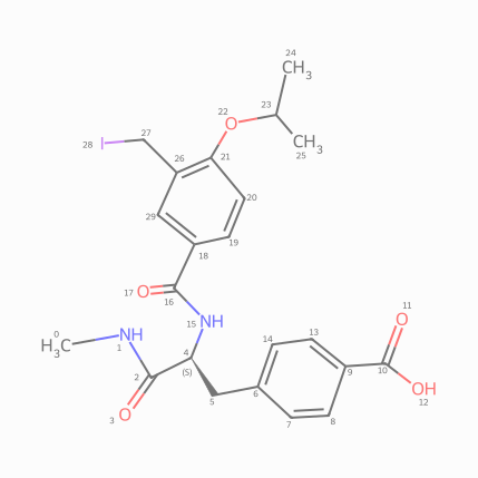 CNC(=O)[C@H](Cc1ccc(C(=O)O)cc1)NC(=O)c1ccc(OC(C)C)c(CI)c1